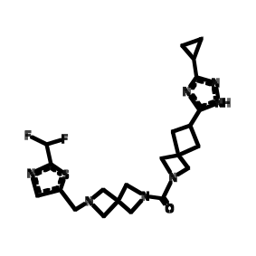 O=C(N1CC2(CC(c3nc(C4CC4)n[nH]3)C2)C1)N1CC2(CN(Cc3cnc(C(F)F)s3)C2)C1